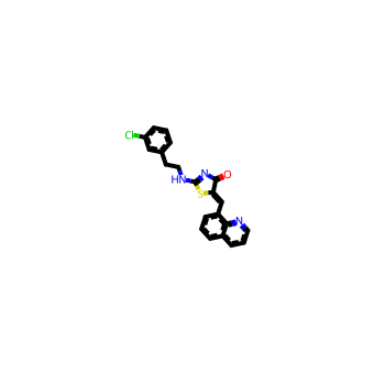 O=C1N=C(NCCc2cccc(Cl)c2)SC1=Cc1cccc2cccnc12